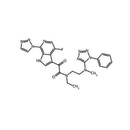 CCN(CCN(C)c1nnnn1-c1ccccc1)C(=O)C(=O)c1c[nH]c2c(-n3ccnn3)ncc(F)c12